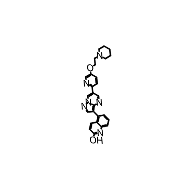 Oc1ccc2c(-c3cnn4cc(-c5ccc(OCCN6CCCCC6)cn5)cnc34)cccc2n1